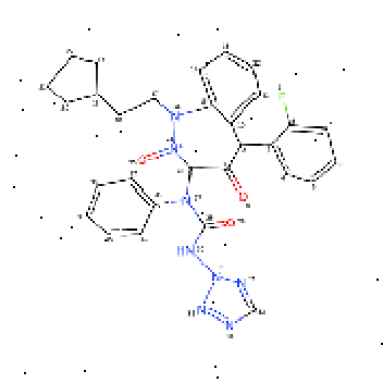 O=C1C(c2ccccc2F)c2ccccc2N(CCC2CCCC2)[N+](=O)C1N(C(=O)Nn1ncnn1)c1ccccc1